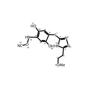 COCCc1nnc(Sc2cc(O)c(NOC#N)cc2O)[nH]1